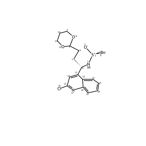 CC(C)(C)[S@+]([O-])N[C@@H](CCC1OCCCO1)c1cc(Cl)nc2ccccc12